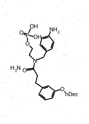 CCCCCCCCCCOc1cccc(CCC(=O)N(CCOP(=O)(O)O)Cc2ccc(N)cc2)c1.N